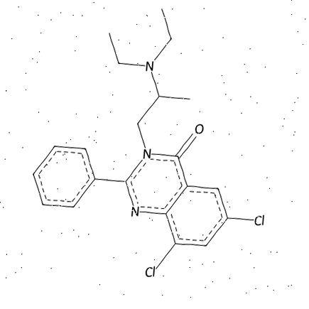 CCN(CC)C(C)Cn1c(-c2ccccc2)nc2c(Cl)cc(Cl)cc2c1=O